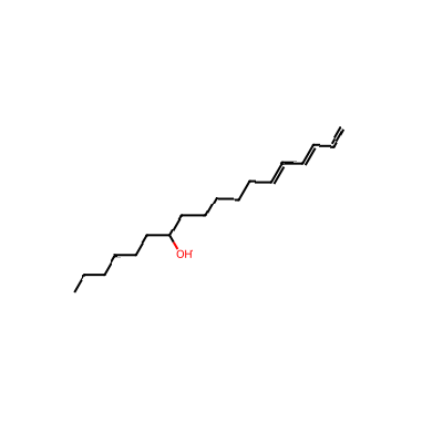 C=CC=CC=CCCCCCC(O)CCCCCC